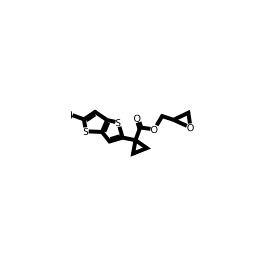 O=C(OCC1CO1)C1(c2cc3sc(I)cc3s2)CC1